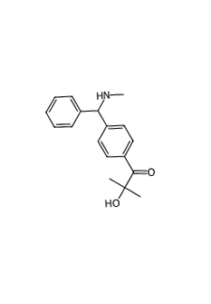 CNC(c1ccccc1)c1ccc(C(=O)C(C)(C)O)cc1